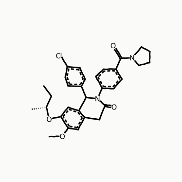 CC[C@@H](C)Oc1cc2c(cc1OC)CC(=O)N(c1ccc(C(=O)N3CCCC3)cc1)C2c1ccc(Cl)cc1